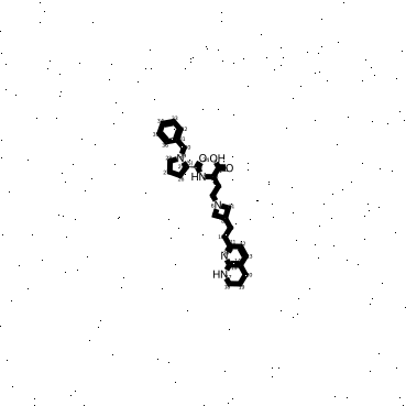 O=C(O)C(CCN1CC(CCc2ccc3c(n2)NCCC3)C1)NC(=O)[C@@H]1CCCN1Cc1ccccc1